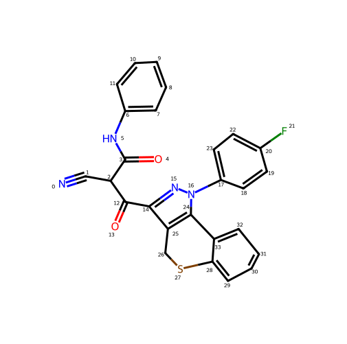 N#CC(C(=O)Nc1ccccc1)C(=O)c1nn(-c2ccc(F)cc2)c2c1CSc1ccccc1-2